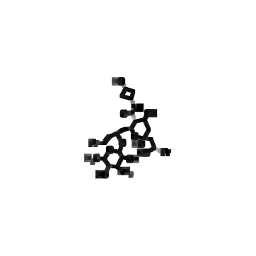 CC(C)/C=C/[C@@H](C[C@@H]1O[C@](O)(C[C@@H](O)C(C)C)C[C@H](O)[C@H]1C(=O)N[C@H]1C[C@@H](O)C1)OC1OC(C)C(O)C(N)C1O